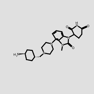 Cn1c(=O)n(C2CCC(=O)NC2=O)c2cccc(N3CCN(C[C@H]4CC[C@H](N)CC4)CC3)c21